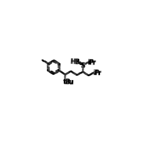 B=S(C(C)C)C(CCC(c1ccc(C)cc1)C(C)(C)C)CC(C)C